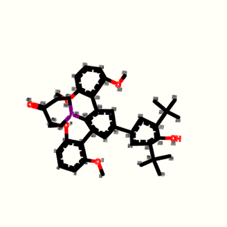 COc1cccc(OC)c1-c1cc(-c2cc(C(C)(C)C)c(O)c(C(C)(C)C)c2)cc(-c2c(OC)cccc2OC)c1P1CCC(=O)CC1